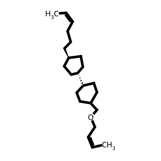 C/C=C\CCC[C@H]1CC[C@H](C2CCC(COC/C=C\C)CC2)CC1